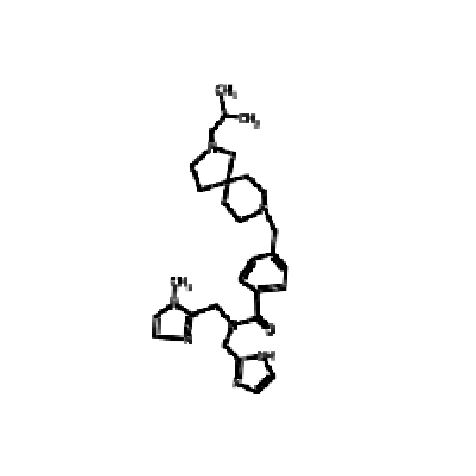 CC(C)CN1CCC2(CCN(Cc3ccc(C(=O)N(Cc4ncc[nH]4)Cc4nccn4C)cc3)CC2)C1